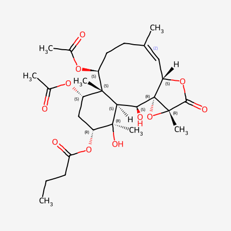 CCCC(=O)O[C@@H]1C[C@H](OC(C)=O)[C@]2(C)[C@@H](OC(C)=O)CC/C(C)=C\[C@@H]3OC(=O)[C@]4(C)O[C@]34[C@@H](O)[C@H]2[C@@]1(C)O